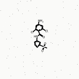 CS(=O)(=O)c1cccc(NC(=O)c2c(Cl)cc(N)cc2Cl)c1